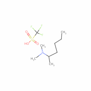 CCCCC(C)N(C)C.O=S(=O)(O)C(F)(F)F